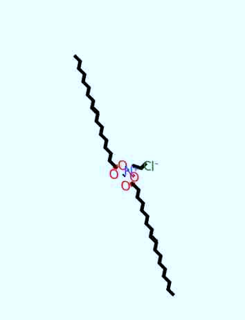 CCCCCCCCC=CCCCCCCCC(=O)O[N+](C)(CCC)OC(=O)CCCCCCCC=CCCCCCCCC.[Cl-]